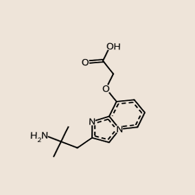 CC(C)(N)Cc1cn2cccc(OCC(=O)O)c2n1